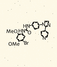 COc1cc(OC)c(NC(=O)Nc2ccc(-n3ccnc3-c3ccncc3)cc2)cc1Br